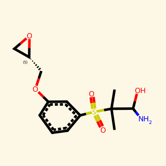 CC(C)(C(N)O)S(=O)(=O)c1cccc(OC[C@@H]2CO2)c1